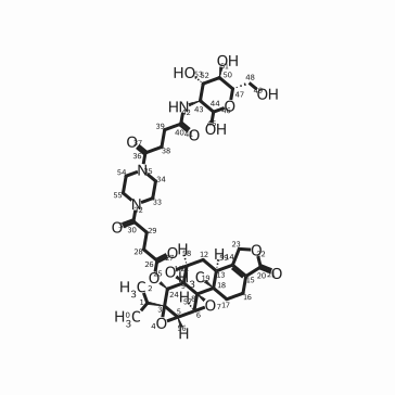 CC(C)[C@]12O[C@H]1[C@@H]1O[C@]13[C@]1(O[C@H]1C[C@H]1C4=C(CC[C@@]13C)C(=O)OC4)[C@@H]2OC(=O)CCC(=O)N1CCN(C(=O)CCC(=O)N[C@@H]2C(O)O[C@@H](CO)[C@H](O)[C@H]2O)CC1